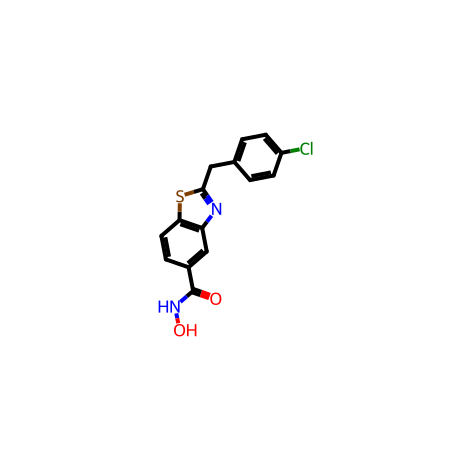 O=C(NO)c1ccc2sc(Cc3ccc(Cl)cc3)nc2c1